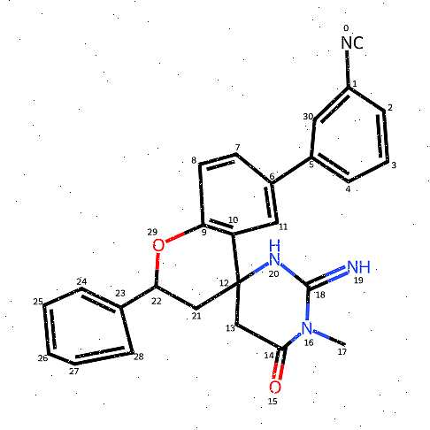 [C-]#[N+]c1cccc(-c2ccc3c(c2)C2(CC(=O)N(C)C(=N)N2)CC(c2ccccc2)O3)c1